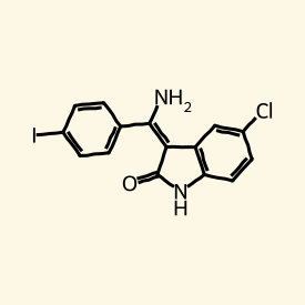 N/C(=C1/C(=O)Nc2ccc(Cl)cc21)c1ccc(I)cc1